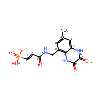 O=C(/C=C/P(=O)(O)O)NCc1cc([N+](=O)[O-])cc2[nH]c(=O)c(=O)[nH]c12